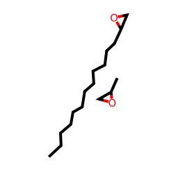 CC1CO1.CCCCCCCCCCCCC1CO1